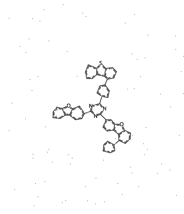 c1ccc(-c2cccc3oc4cc(-c5nc(-c6ccc(-c7cccc8sc9ccccc9c78)cc6)nc(-c6ccc7c(c6)oc6ccccc67)n5)ccc4c23)cc1